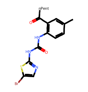 CCCCCC(=O)c1cc(C)ccc1NC(=O)Nc1ncc(Br)s1